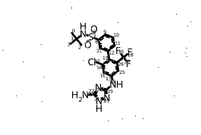 CC(C)(C)NS(=O)(=O)c1cccc(-c2c(Cl)cc(Nc3n[nH]c(N)n3)cc2C(F)(F)F)c1